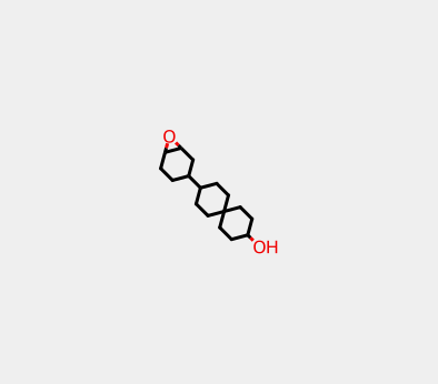 OC1CCC2(CC1)CCC(C1CCC3OC3C1)CC2